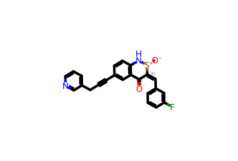 O=C1/C(=C\c2cccc(F)c2)[S+]([O-])Nc2ccc(C#CCc3cccnc3)cc21